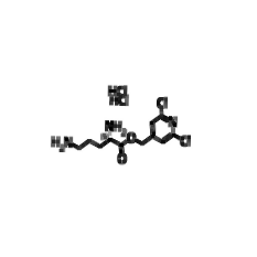 Cl.Cl.NCCC[C@H](N)C(=O)OCc1cc(Cl)nc(Cl)c1